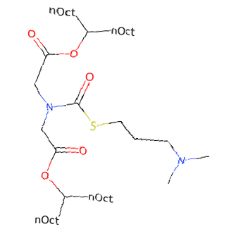 CCCCCCCCC(CCCCCCCC)OC(=O)CN(CC(=O)OC(CCCCCCCC)CCCCCCCC)C(=O)SCCCN(C)C